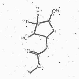 COC(=O)CC1CC(O)C(F)(F)C1O